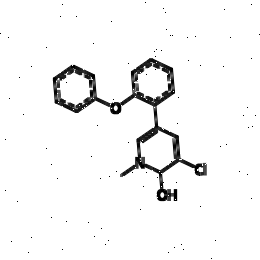 CN1C=C(c2ccccc2Oc2ccccc2)C=C(Cl)C1O